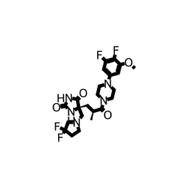 COc1cc(N2CCN(C(=O)[C@@H](C)C[C@@]3(CN4CCC(F)(F)C4)NC(=O)NC3=O)CC2)cc(F)c1F